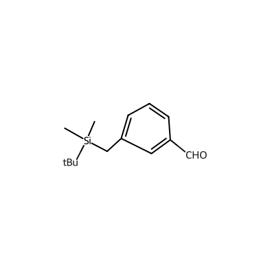 CC(C)(C)[Si](C)(C)Cc1cccc(C=O)c1